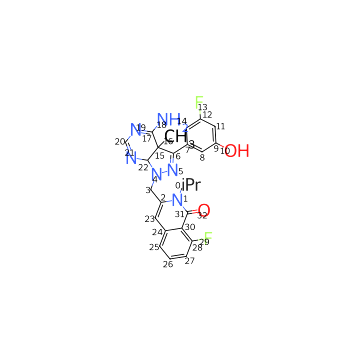 CC(C)n1c(CN2N=C(c3cc(O)cc(F)c3)C3(C)C(N)=NC=NC23)cc2cccc(F)c2c1=O